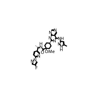 CO[C@]1(C(=O)N[C@@H](C)c2ccc(-n3cc(F)cn3)nc2)CC[C@H](c2nc(Nc3cc(C)[nH]n3)c3cncnc3n2)CC1